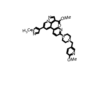 COC(=O)c1cnn2cc(-c3cnn(C)c3)cc(-c3ccc(N4CCN(Cc5ccc(OC)nc5)CC4)nc3)c12